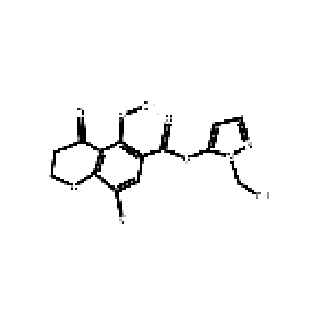 CCn1nccc1OC(=O)c1cc(Cl)c2c(c1SC)C(=O)CCO2